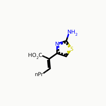 CCCC=C(C(=O)O)c1csc(N)n1